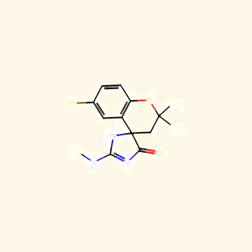 CNC1=NC(=O)C2(CC(C)(C)Oc3ccc(Br)cc32)N1